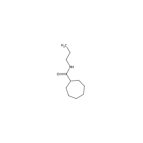 CCCNC(=O)C1CCCCCC1